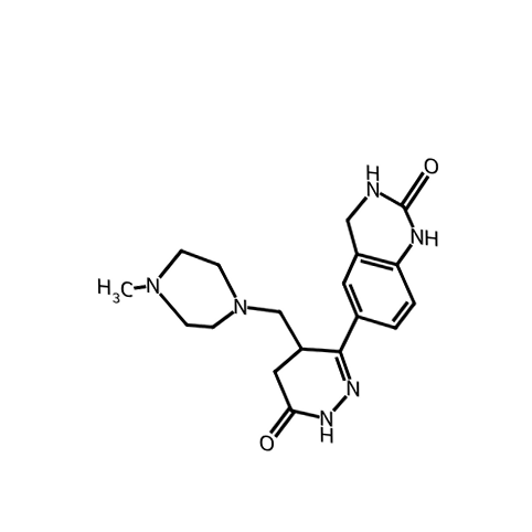 CN1CCN(CC2CC(=O)NN=C2c2ccc3c(c2)CNC(=O)N3)CC1